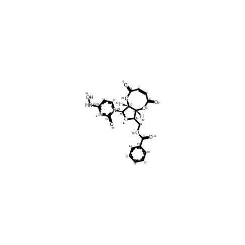 O=C1/C=C\C(=O)O[C@@H]2C(COC(=O)c3ccccc3)O[C@@H](n3ccc(NO)nc3=O)[C@@H]2O1